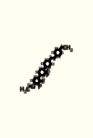 C=CC1CCC(/C=C/C2CCC(C3CCC(c4ccc(OCC)c(F)c4F)CC3(F)F)CC2)CC1